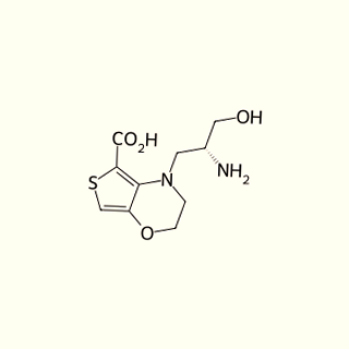 N[C@@H](CO)CN1CCOc2csc(C(=O)O)c21